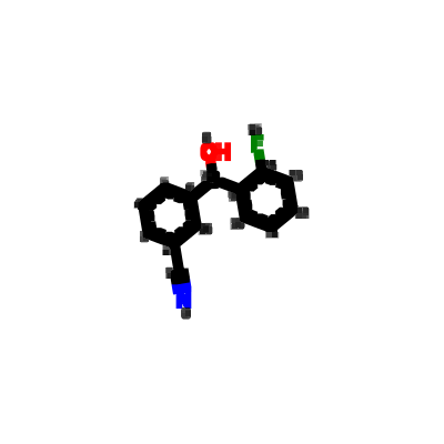 N#Cc1cccc(B(O)c2ccccc2F)c1